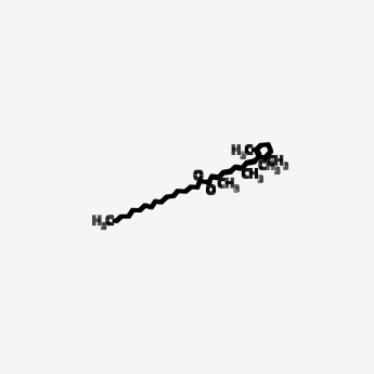 CCCCCCCCCCCCCCCCC(=O)C(=O)/C=C(C)/C=C/C=C(C)/C=C/C1=C(C)CCCC1(C)C